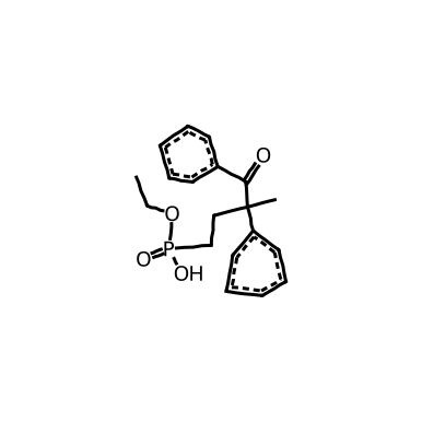 CCOP(=O)(O)CCC(C)(C(=O)c1ccccc1)c1ccccc1